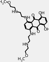 COCCNCCNc1ccc(NCCNCCOC)c2c1C(=O)c1c(O)ccc(O)c1C2=O